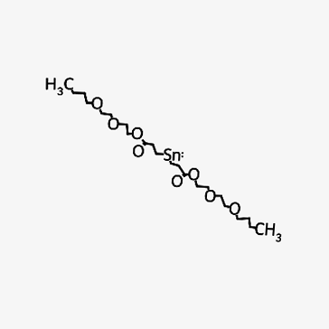 CCCCOCCOCCOC(=O)C[CH2][Sn][CH2]CC(=O)OCCOCCOCCCC